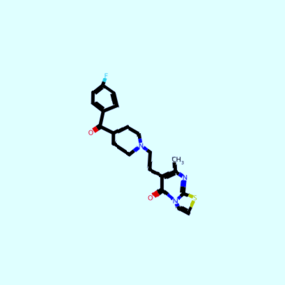 Cc1nc2sccn2c(=O)c1CCN1CCC(C(=O)c2ccc(F)cc2)CC1